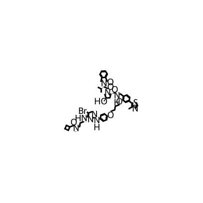 Cc1ncsc1-c1ccc(CNC(=O)[C@@H]2C[C@@H](O)CN2C(=O)[C@H](C(C)C)N2Cc3ccccc3C2=O)c(OCCCCOc2ccc(Nc3ncc(Br)c(NCCCN(C)C(=O)C4CCC4)n3)cc2)c1